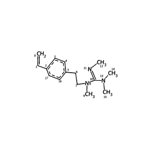 C=Cc1ccc(CCN(C)C(=NC)N(C)C)cc1